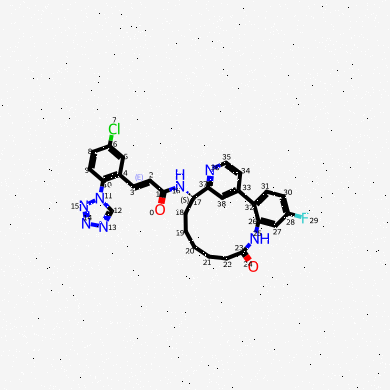 O=C(/C=C/c1cc(Cl)ccc1-n1cnnn1)N[C@H]1CCCCCC(=O)Nc2cc(F)ccc2-c2ccnc1c2